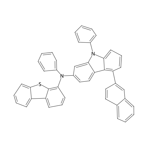 c1ccc(N(c2ccc3c4c(-c5ccc6ccccc6c5)cccc4n(-c4ccccc4)c3c2)c2cccc3c2sc2ccccc23)cc1